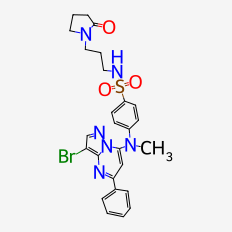 CN(c1ccc(S(=O)(=O)NCCCN2CCCC2=O)cc1)c1cc(-c2ccccc2)nc2c(Br)cnn12